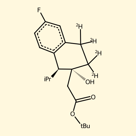 [2H]C1([2H])c2cc(F)ccc2[C@H](C(C)C)[C@](O)(CC(=O)OC(C)(C)C)C1([2H])[2H]